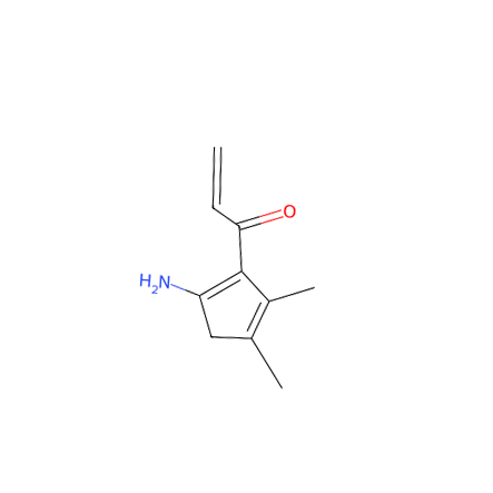 C=CC(=O)C1=C(N)CC(C)=C1C